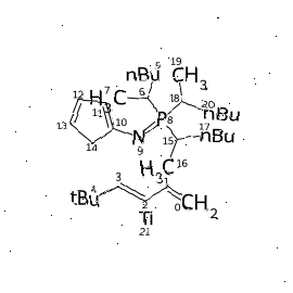 C=CC=CC(C)(C)C.CCCCC(C)P(=NC1=CC=CC1)(C(C)CCCC)C(C)CCCC.[Ti]